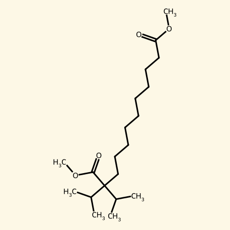 COC(=O)CCCCCCCCCC(C(=O)OC)(C(C)C)C(C)C